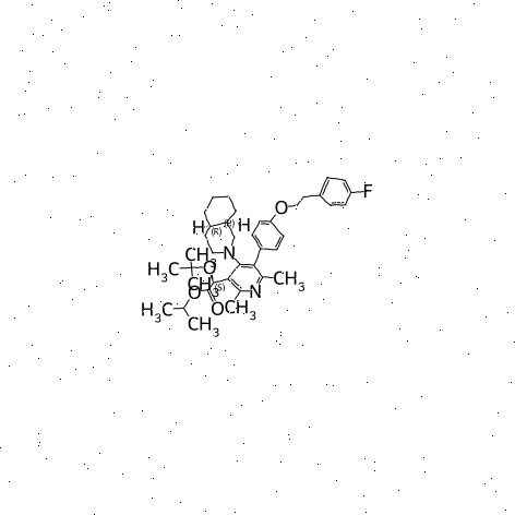 Cc1nc(C)c([C@H](OC(C)(C)C)C(=O)OC(C)C)c(N2CC[C@H]3CCCC[C@H]3C2)c1-c1ccc(OCCc2ccc(F)cc2)cc1